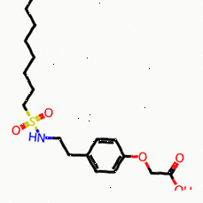 CCCCCCCCS(=O)(=O)NCCc1ccc(OCC(=O)O)cc1